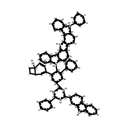 C1=C[C@H]2CCC2C=C1c1cc(-c2nc(-c3ccccc3)nc(-c3ccc4c(c3)oc3ccccc34)n2)cc(-c2ccccc2)c1-n1c2ccccc2c2c3sc4c(ccc5c4c4ccccc4n5-c4ccccc4)c3ccc21